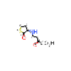 O=C(O)C(=O)CCNC1CCSC1=O